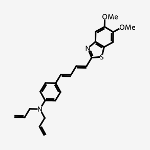 C=CCN(CC=C)c1ccc(/C=C/C=C/c2nc3cc(OC)c(OC)cc3s2)cc1